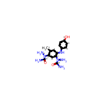 Cc1cc(Nc2ccc(O)cc2)c(N(N)C(N)=O)cc1N(N)C(N)=O